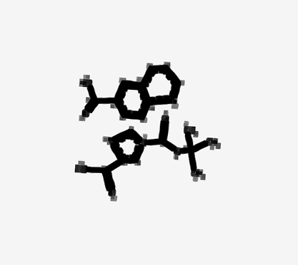 CC(C)(C)OC(=O)n1cnc(C(=O)O)c1.O=C(O)c1ccc2ncccc2c1